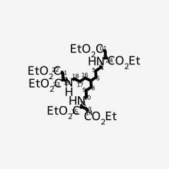 CCOC(=O)CC(NCCCC(CCCNC(CC(=O)OCC)C(=O)OCC)CCCNC(CC(=O)OCC)C(=O)OCC)C(=O)OCC